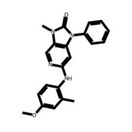 COc1ccc(Nc2cc3c(cn2)n(C)c(=O)n3-c2ccccc2)c(C)c1